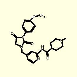 CN1CCC(C(=O)Nc2cc(CN3CC(=O)N(c4ccc(OC(F)(F)F)cc4)C3=O)ccn2)CC1